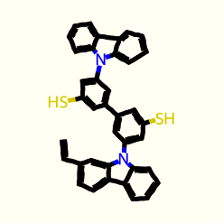 C=Cc1ccc2c3ccccc3n(-c3cc(S)cc(-c4cc(S)cc(-n5c6ccccc6c6ccccc65)c4)c3)c2c1